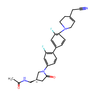 CC(=O)NC[C@@H]1CC(=O)N(c2ccc(-c3ccc(N4CC=C(CC#N)CC4)c(F)c3)c(F)c2)C1